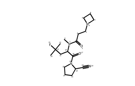 CN(C(=O)CCN1CCC1)C(CC(C)(C)F)C(=O)N1CCCC1C#N